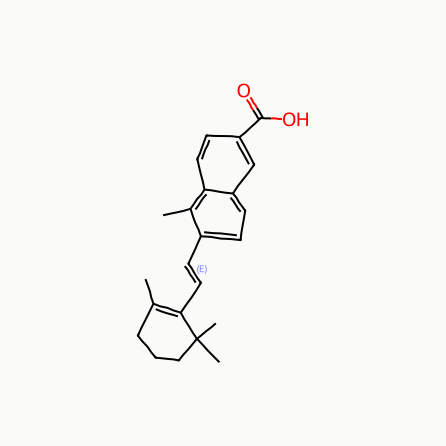 CC1=C(/C=C/c2ccc3cc(C(=O)O)ccc3c2C)C(C)(C)CCC1